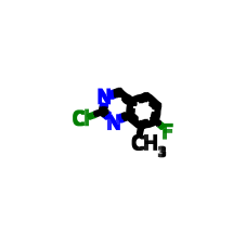 Cc1c(F)ccc2cnc(Cl)nc12